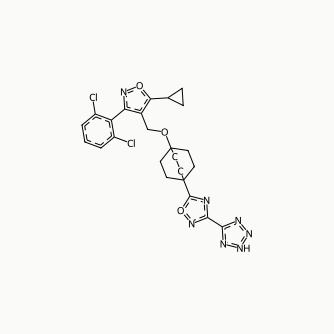 Clc1cccc(Cl)c1-c1noc(C2CC2)c1COC12CCC(c3nc(-c4nn[nH]n4)no3)(CC1)CC2